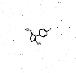 CCCC1=C(c2ccc(F)cc2)/C(=N/O)CC1